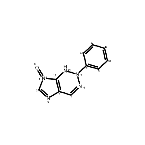 O=[n+]1cnc2cnn(-c3ccccc3)[nH]c1=2